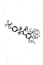 Cc1cc(/C=C(\C#N)S(=O)(=O)c2ccc(OC(F)(F)F)cc2)cc(C(C)(C)C)c1O